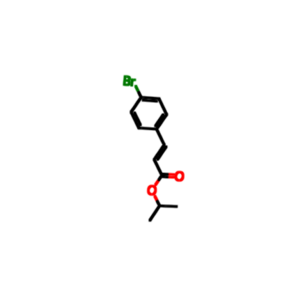 CC(C)OC(=O)C=Cc1ccc(Br)cc1